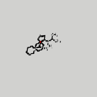 CC(C)P(C)C1=C(C(C)P23(CCCCC2)CCCCC3)CC=C1